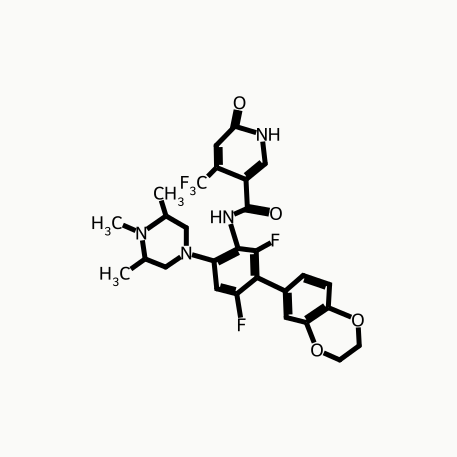 CC1CN(c2cc(F)c(-c3ccc4c(c3)OCCO4)c(F)c2NC(=O)c2c[nH]c(=O)cc2C(F)(F)F)CC(C)N1C